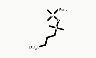 CCCCC[Si](C)(C)O[Si](C)(C)CCCC(=O)OCC